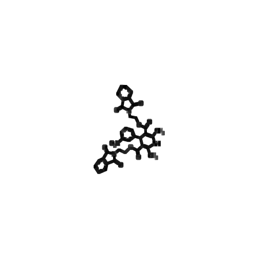 CC1=C(C(=O)OCCN2C(=O)c3ccccc3C2=O)C(c2cccc([N+](=O)[O-])c2)C(C(=O)OCCN2C(=O)c3ccccc3C2=O)=C(C)N1